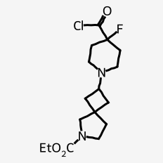 CCOC(=O)N1CCC2(CC(N3CCC(F)(C(=O)Cl)CC3)C2)C1